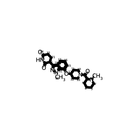 CN1CCCCC1C(=O)N1CCC(Oc2cccc3c(C4CCC(=O)NC4=O)nn(C)c23)CC1